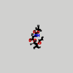 CCCO[C@@H](C(C)C)[C@H](C)OC(=O)[C@H](C)NC(=O)OC(C)(C)C